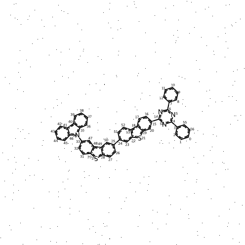 c1ccc(-c2nc(-c3ccccc3)nc(-c3ccc4c(c3)sc3cc(-c5ccc6sc7ccc(-n8c9ccccc9c9ccccc98)cc7c6c5)ccc34)n2)cc1